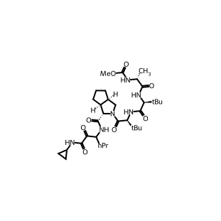 CCCC(NC(=O)[C@@H]1[C@H]2CCC[C@H]2CN1C(=O)[C@@H](NC(=O)[C@@H](NC(=O)[C@@H](C)NC(=O)OC)C(C)(C)C)C(C)(C)C)C(=O)C(=O)NC1CC1